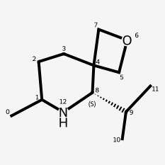 CC1CCC2(COC2)[C@H](C(C)C)N1